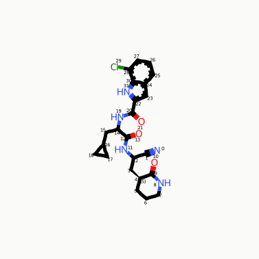 N#CC(C[C@@H]1CCCNC1=O)NC(=O)C(CC1CC1)NC(=O)c1cc2cccc(Cl)c2[nH]1